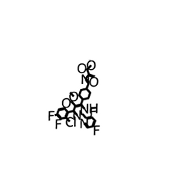 COC(=O)C1=C(C2CCC(c3nc(C(=O)OC)co3)CC2)NC(c2ncc(F)cc2F)=NC1c1ccc(F)c(F)c1Cl